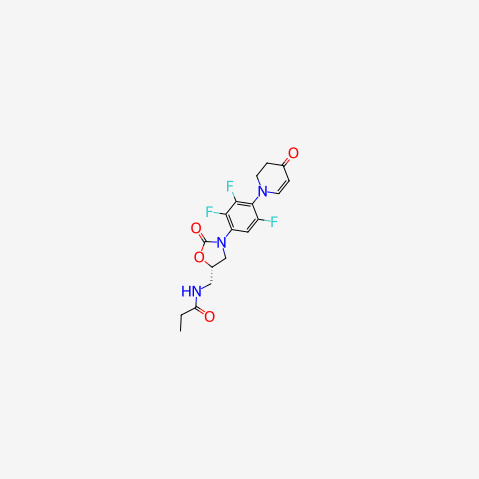 CCC(=O)NC[C@H]1CN(c2cc(F)c(N3C=CC(=O)CC3)c(F)c2F)C(=O)O1